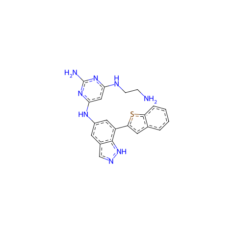 NCCNc1cc(Nc2cc(-c3cc4ccccc4s3)c3[nH]ncc3c2)nc(N)n1